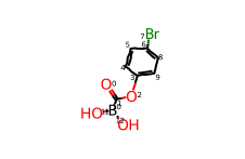 O=C(Oc1ccc(Br)cc1)B(O)O